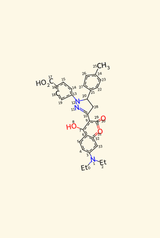 CCN(CC)c1ccc2c(O)c(C3=NN(c4ccc(C(=O)O)cc4)C(c4ccc(C)cc4)C3)c(=O)oc2c1